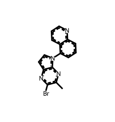 Cc1nc2c(ccn2-c2cccc3ncccc23)nc1Br